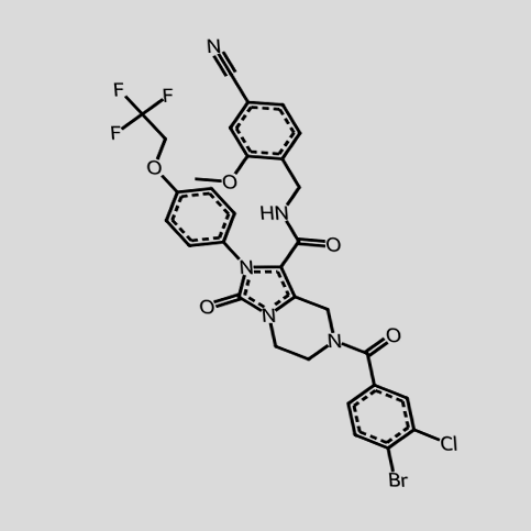 COc1cc(C#N)ccc1CNC(=O)c1c2n(c(=O)n1-c1ccc(OCC(F)(F)F)cc1)CCN(C(=O)c1ccc(Br)c(Cl)c1)C2